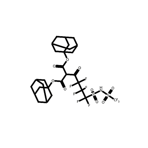 O=C(OC12CC3CC(CC(C3)C1)C2)C(C(=O)OC12CC3CC(CC(C3)C1)C2)C(=O)C(F)(F)C(F)(F)C(F)(F)S(=O)(=O)NS(=O)(=O)C(F)(F)F